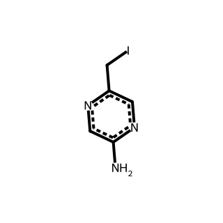 Nc1cnc(CI)cn1